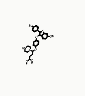 COC(CCC(Oc1ccc(Oc2c(-c3ccc(Br)cc3)sc3cc(O)ccc23)cc1)N1CCNCC1)OC